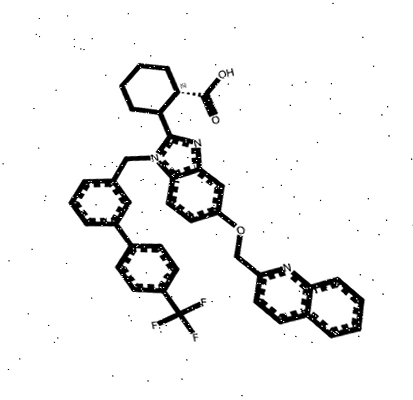 O=C(O)[C@H]1CCCCC1c1nc2cc(OCc3ccc4ccccc4n3)ccc2n1Cc1cccc(-c2ccc(C(F)(F)F)cc2)c1